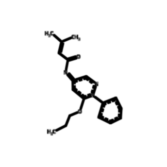 CCCOc1cc(=NC(=O)C=C(C)C)cnn1-c1ccccc1